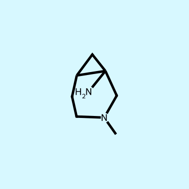 CN1CCC2CC2(N)C1